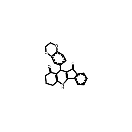 O=C1CCCC2=C1C(c1ccc3c(c1)OCCO3)C1=C(N2)c2ccccc2C1=O